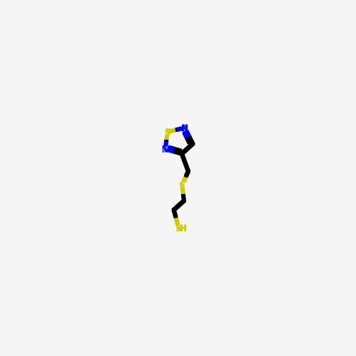 SCCSCc1cnsn1